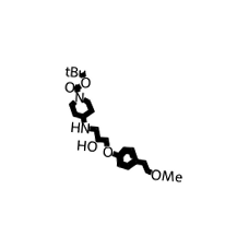 COCCc1ccc(OC[C@@H](O)CNC2CCN(C(=O)OC(C)(C)C)CC2)cc1